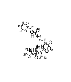 COC(=O)[C@H](CCCNC(=O)OCc1ccccc1)NC(=O)[C@@H](NC(=O)[C@@H]1CCCN1)C(C)C